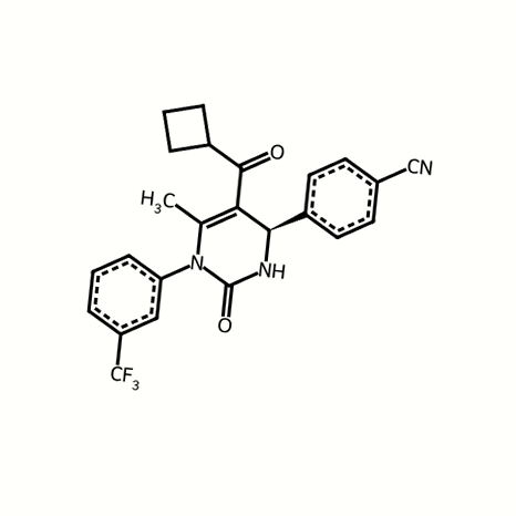 CC1=C(C(=O)C2CCC2)[C@@H](c2ccc(C#N)cc2)NC(=O)N1c1cccc(C(F)(F)F)c1